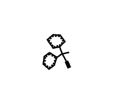 C#CC(C)(c1ccccc1)c1ccccc1